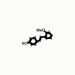 COc1ccccc1C=Cc1ccc(C#N)cc1